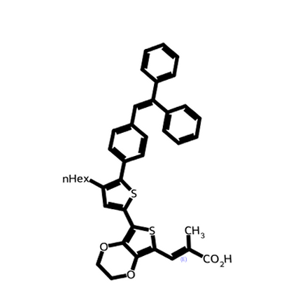 CCCCCCc1cc(-c2sc(/C=C(\C)C(=O)O)c3c2OCCO3)sc1-c1ccc(C=C(c2ccccc2)c2ccccc2)cc1